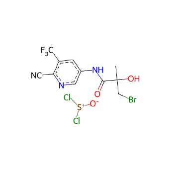 CC(O)(CBr)C(=O)Nc1cnc(C#N)c(C(F)(F)F)c1.[O-][S+](Cl)Cl